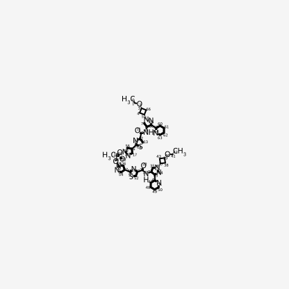 CCO[C@H]1C[C@@H](n2cc(NC(=O)c3csc(-c4cnn(OP(C)(=O)On5cc(-c6nc(C(=O)Nc7cn([C@H]8C[C@@H](OCC)C8)nc7-c7ccccn7)cs6)cn5)c4)n3)c(-c3ccccn3)n2)C1